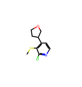 CSc1c(C2CCOC2)ccnc1Cl